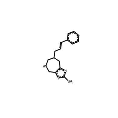 Nc1nc2c(s1)CNCC(CC=Cc1ccccc1)C2